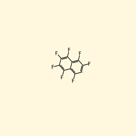 Fc1[c]c(F)c2c(F)c(F)c(F)c(F)c2c1F